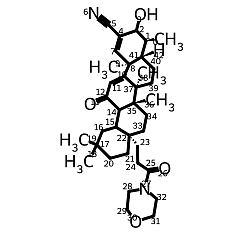 C[C@@H]1C(O)C(C#N)=C[C@]2(C)C3=CC(=O)C4C5CC(C)(C)CC[C@]5(CCC(=O)N5CCOCC5)CC[C@@]4(C)[C@]3(C)CC[C@@H]12